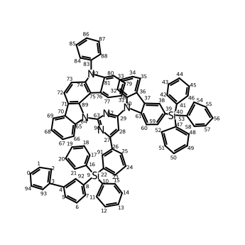 c1ccc(-c2cccc([Si](c3ccccc3)(c3ccccc3)c3cccc(-c4cc(-n5c6ccccc6c6cc([Si](c7ccccc7)(c7ccccc7)c7ccccc7)ccc65)nc(-n5c6ccccc6c6ccc7c(c8ccccc8n7-c7ccccc7)c65)n4)c3)c2)cc1